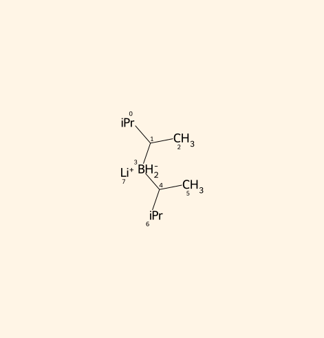 CC(C)C(C)[BH2-]C(C)C(C)C.[Li+]